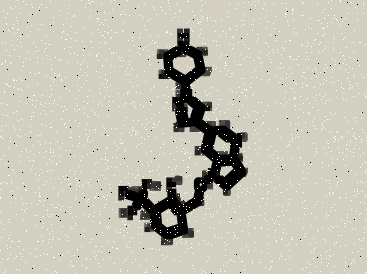 Fc1c(COn2ccc3ncc(-c4cnn(C5CCNCC5)c4)cc32)cccc1C(F)(F)F